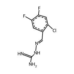 N=C(N)NN=Cc1cc(F)c(F)cc1Cl